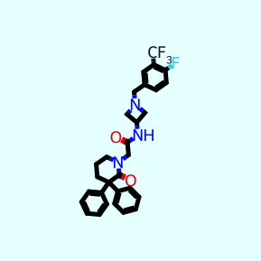 O=C(CN1CCCC(c2ccccc2)(c2ccccc2)C1=O)NC1CN(Cc2ccc(F)c(C(F)(F)F)c2)C1